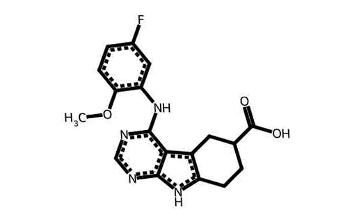 COc1ccc(F)cc1Nc1ncnc2[nH]c3c(c12)CC(C(=O)O)CC3